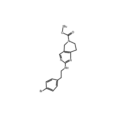 CC(C)(C)OC(=O)N1CCc2nc(NCCc3ccc(Br)cc3)ncc2C1